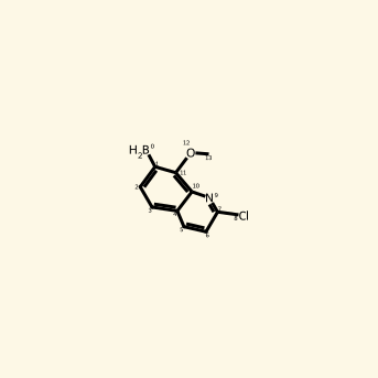 Bc1ccc2ccc(Cl)nc2c1OC